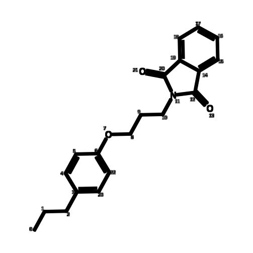 CCCc1ccc(OCCCN2C(=O)c3ccccc3C2=O)cc1